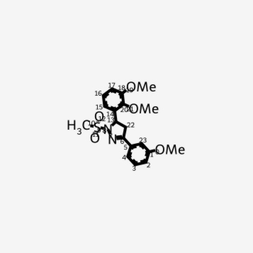 COc1cccc(C2=NN(S(C)(=O)=O)C(c3cccc(OC)c3OC)C2)c1